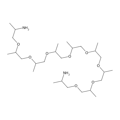 CC(N)COCC(C)OCC(C)OCC(C)OCC(C)OCC(C)OCC(C)OCC(C)OCC(C)N